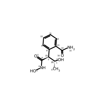 C[C@@H](O)[C@@H](C(=O)NO)c1ccccc1C(N)=O